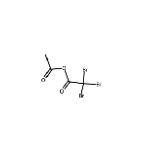 [CH2]C(=O)OC(=O)C(Br)(Br)Br